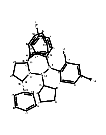 Fc1ccc(P(c2ccc(F)cc2F)N(C2CCCC2)P2[C@H](c3ccccc3)CC[C@H]2c2ccccc2)c(F)c1